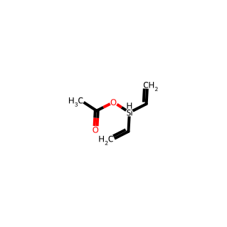 C=C[SiH](C=C)OC(C)=O